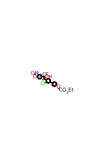 CCOC(=O)COc1ccc(C2=CCC([C@@H](C)[C@@](O)(c3ccc4oc(=O)n(C)c4c3)C(F)(F)F)C(Cl)=C2)cc1